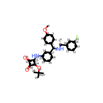 COc1ccc(C(N[C@H](C)c2cccc(F)c2)c2cccc(Nc3c(OC(C)(C)C)c(=O)c3=O)c2)cc1